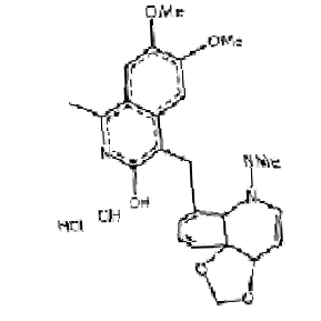 CNN1C=CC2OCOC23C=CC=C(Cc2c(O)nc(C)c4cc(OC)c(OC)cc24)C13.Cl.Cl